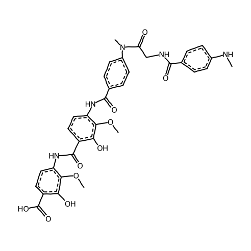 CNc1ccc(C(=O)NCC(=O)N(C)c2ccc(C(=O)Nc3ccc(C(=O)Nc4ccc(C(=O)O)c(O)c4OC)c(O)c3OC)cc2)cc1